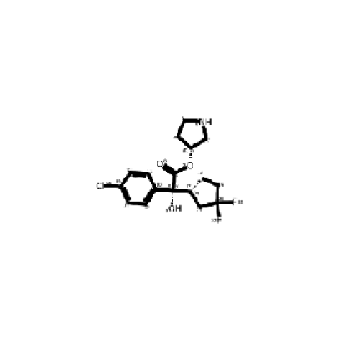 O=C(O[C@@H]1CCNC1)[C@](O)(c1ccc(Cl)cc1)[C@@H]1CCC(F)(F)C1